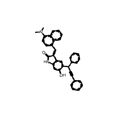 CN(C)c1ccc(/C=C2\C(=O)Nc3cc(O)c(C(C#Cc4ccccc4)c4ccccc4)cc32)c2ccccc12